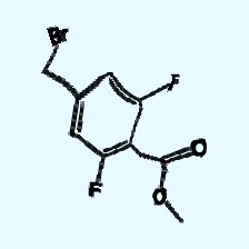 COC(=O)c1c(F)cc(CBr)cc1F